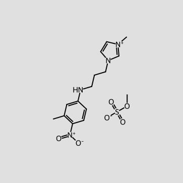 COS(=O)(=O)[O-].Cc1cc(NCCCn2cc[n+](C)c2)ccc1[N+](=O)[O-]